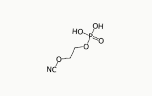 N#COCCOP(=O)(O)O